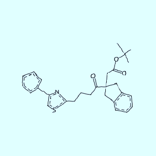 CC(C)(C)OC(=O)CC1(C(=O)CCCc2nc(-c3ccccc3)cs2)Cc2ccccc2C1